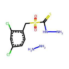 NN.NNC(=S)S(=O)(=O)Cc1ccc(Cl)cc1Cl